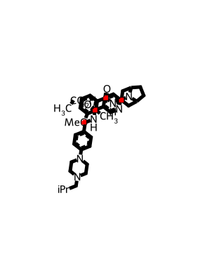 CC(=O)O.COc1cccc(C(=O)NC2CC3CCC(C2)N3c2ccc(C(=O)NCc3ccc(N4CCN(CC(C)C)CC4)cc3)cn2)c1C